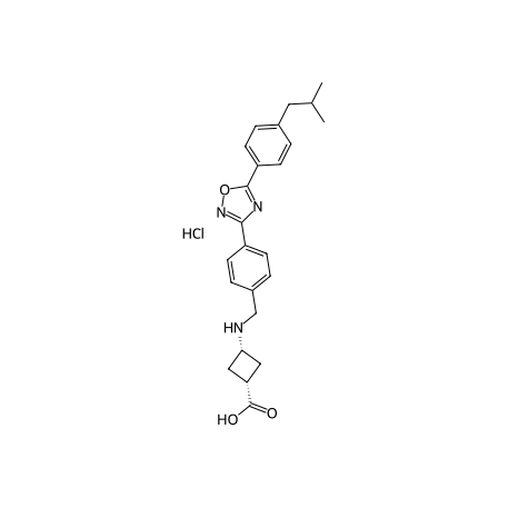 CC(C)Cc1ccc(-c2nc(-c3ccc(CN[C@H]4C[C@@H](C(=O)O)C4)cc3)no2)cc1.Cl